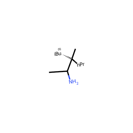 CCCC(C)(C(C)N)[C@@H](C)CC